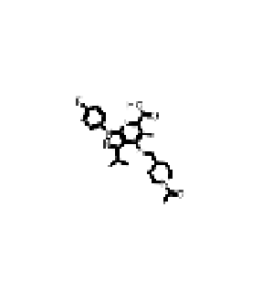 CC(=O)N1CCC(COc2c(C)c(C(=O)O)nc3c2c(C(C)C)nn3-c2ccc(F)cc2)CC1